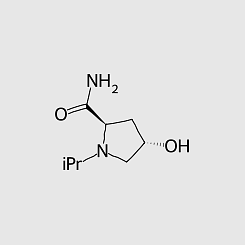 CC(C)N1C[C@@H](O)C[C@@H]1C(N)=O